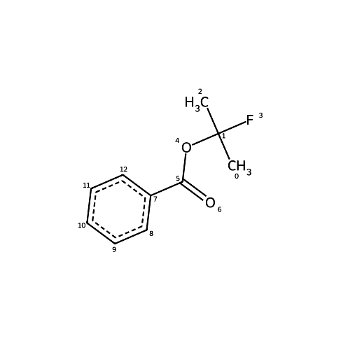 CC(C)(F)OC(=O)c1ccccc1